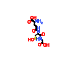 N[C@@H](CCC(=O)N[C@@H](CSO)C(=O)NCC(=O)O)C(=O)O